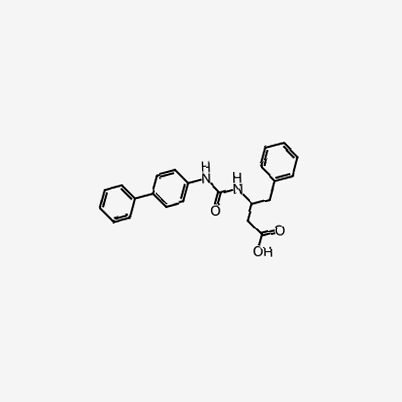 O=C(O)CC(Cc1ccccc1)NC(=O)Nc1ccc(-c2ccccc2)cc1